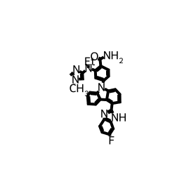 CCN(c1cn(C)cn1)c1cc(-n2c3ccccc3c3c(-c4nc5ccc(F)cc5[nH]4)cccc32)ccc1C(N)=O